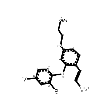 COCCOc1ccc(C=CC(=O)O)c(Oc2ncc(C(F)(F)F)cc2Cl)c1